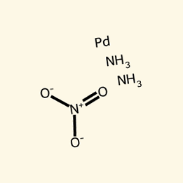 N.N.O=[N+]([O-])[O-].[Pd]